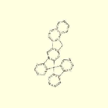 c1ccc2c(c1)-c1ccncc1C21c2ccccc2-c2cc3c(cc21)Cc1c-3ccc2ccccc12